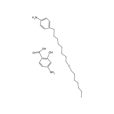 CCCCCCCCCCCCCCCCc1ccc(N)cc1.Nc1ccc(C(=O)O)c(O)c1